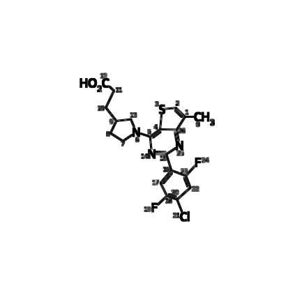 Cc1csc2c(N3CCC(CCC(=O)O)C3)nc(-c3cc(F)c(Cl)cc3F)nc12